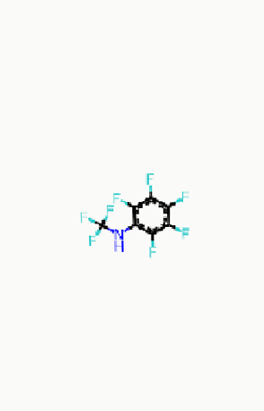 Fc1c(F)c(F)c(NC(F)(F)F)c(F)c1F